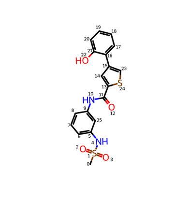 CS(=O)(=O)Nc1cccc(NC(=O)c2cc(-c3ccccc3O)cs2)c1